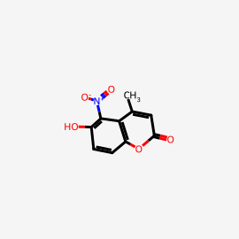 Cc1cc(=O)oc2ccc(O)c([N+](=O)[O-])c12